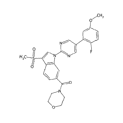 COc1ccc(F)c(-c2cnc(-n3cc(S(C)(=O)=O)c4ccc(C(=O)N5CCOCC5)cc43)nc2)c1